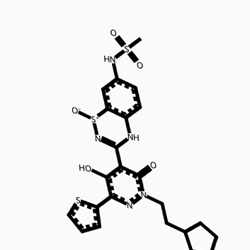 CS(=O)(=O)Nc1ccc2c(c1)[S+]([O-])N=C(c1c(O)c(-c3cccs3)nn(CCC3CCCC3)c1=O)N2